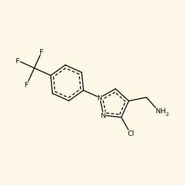 NCc1cn(-c2ccc(C(F)(F)F)cc2)nc1Cl